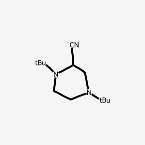 CC(C)(C)N1CCN(C(C)(C)C)C(C#N)C1